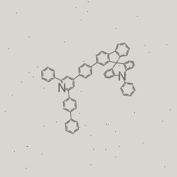 c1ccc(-c2ccc(-c3cc(-c4ccc(-c5ccc6c(c5)C5(c7ccccc7-6)c6ccccc6N(c6ccccc6)c6ccccc65)cc4)cc(-c4ccccc4)n3)cc2)cc1